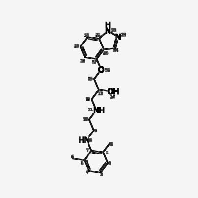 Cc1cccc(C)c1NCCNCC(O)COc1cccc2[nH]ncc12